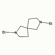 CCN1CCC2(CCN(CC)C2)C1